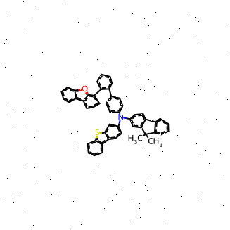 CC1(C)c2ccccc2-c2ccc(N(c3ccc(-c4ccccc4-c4cccc5c4oc4ccccc45)cc3)c3ccc4c(c3)sc3ccccc34)cc21